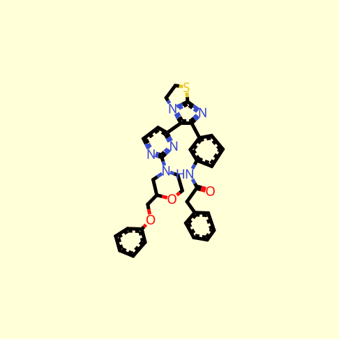 O=C(Cc1ccccc1)Nc1cccc(-c2nc3n(c2-c2ccnc(N4CCOC(COc5ccccc5)C4)n2)CCS3)c1